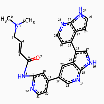 CN(C)CC=CC(=O)Nc1cc(-c2cnc3[nH]cc(-c4ccnc5[nH]ccc45)c3c2)ccn1